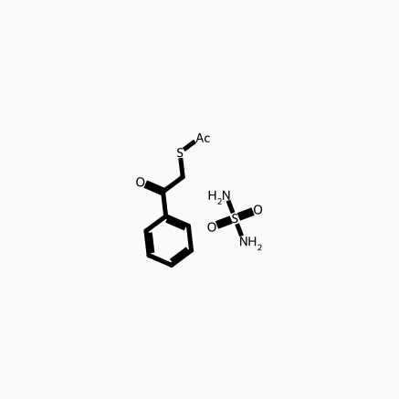 CC(=O)SCC(=O)c1ccccc1.NS(N)(=O)=O